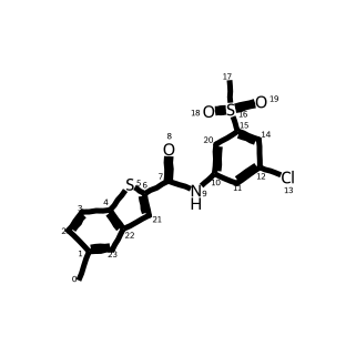 Cc1ccc2sc(C(=O)Nc3cc(Cl)cc(S(C)(=O)=O)c3)cc2c1